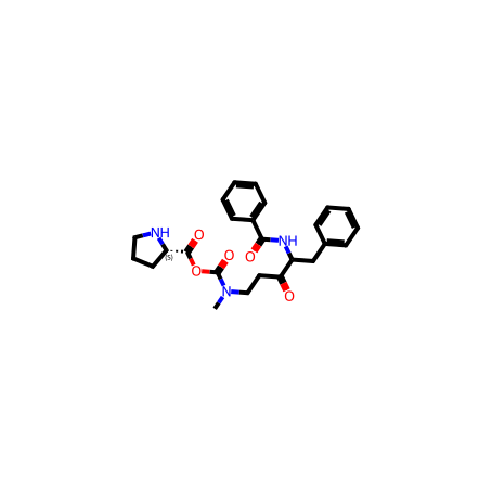 CN(CCC(=O)C(Cc1ccccc1)NC(=O)c1ccccc1)C(=O)OC(=O)[C@@H]1CCCN1